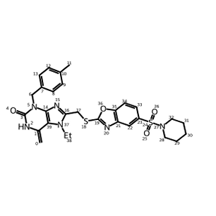 C=C1NC(=O)N(Cc2ccc(C)cc2)c2nc(CSc3nc4cc(S(=O)(=O)N5CCCCC5)ccc4o3)n(CC)c21